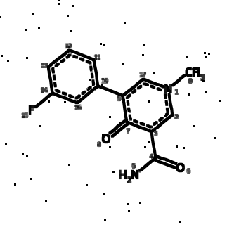 Cn1cc(C(N)=O)c(=O)c(-c2cccc(F)c2)c1